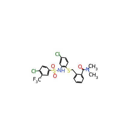 CN(C)C(=O)c1ccccc1CSc1ccc(Cl)cc1NS(=O)(=O)c1ccc(Cl)c(C(F)(F)F)c1